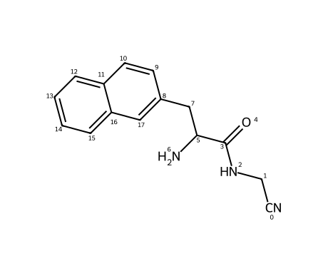 N#CCNC(=O)C(N)Cc1ccc2ccccc2c1